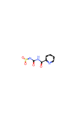 O=C(N=S(=O)=O)NC(=O)c1ccccn1